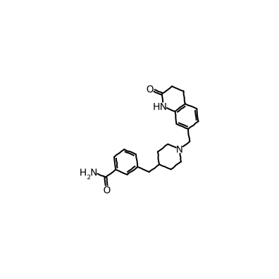 NC(=O)c1cccc(CC2CCN(Cc3ccc4c(c3)NC(=O)CC4)CC2)c1